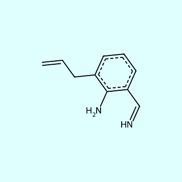 C=CCc1cccc(C=N)c1N